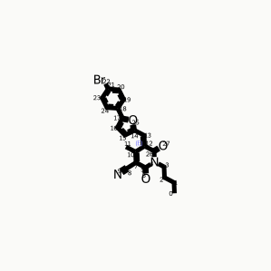 CCCCN1C(=O)C(C#N)=C(C)/C(=C\c2ccc(-c3ccc(Br)cc3)o2)C1=O